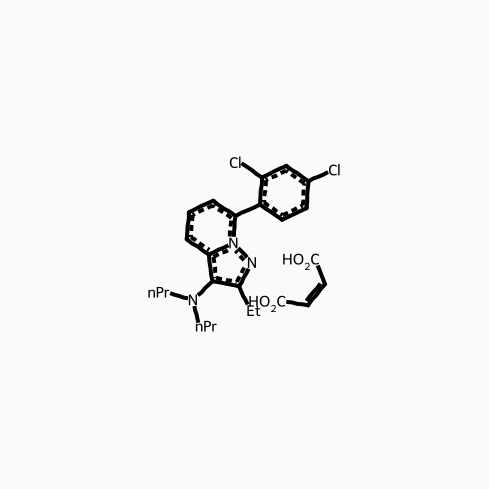 CCCN(CCC)c1c(CC)nn2c(-c3ccc(Cl)cc3Cl)cccc12.O=C(O)/C=C\C(=O)O